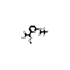 CON=C(C(=O)O)c1cccc(NC(=O)C(F)(F)F)n1